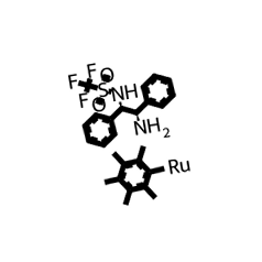 Cc1c(C)c(C)c(C)c(C)c1C.N[C@@H](c1ccccc1)[C@@H](NS(=O)(=O)C(F)(F)F)c1ccccc1.[Ru]